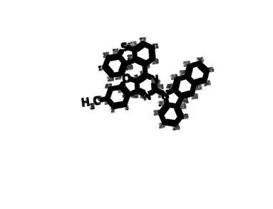 CC1C=Cc2c(oc3c(-c4cccc5sc6ccccc6c45)nc(-n4c5ccccc5c5cc6ccccc6cc54)nc23)C1